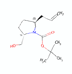 C=CC[C@@H]1CC[C@@H](CO)N1C(=O)OC(C)(C)C